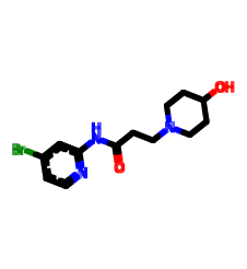 O=C(CCN1CCC(O)CC1)Nc1cc(Br)ccn1